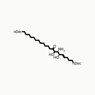 CCCCCCCCCCCCC/C=C/[C@@H](O)[C@@H](N)C(O)C(=O)CCCCCCCCCCCCCCCCCCCCCC